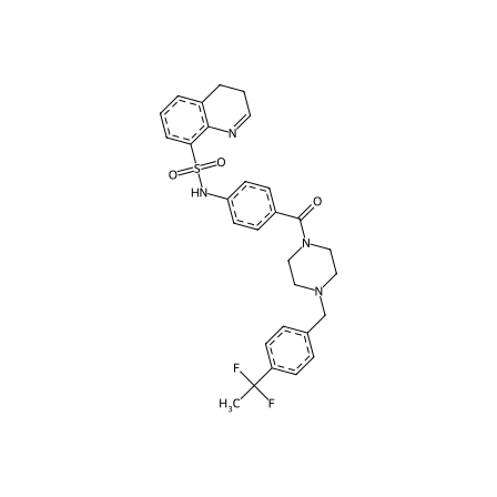 CC(F)(F)c1ccc(CN2CCN(C(=O)c3ccc(NS(=O)(=O)c4cccc5c4N=CCC5)cc3)CC2)cc1